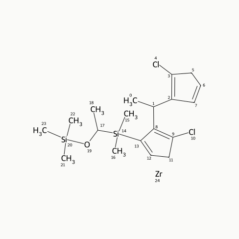 CC(C1=C(Cl)CC=C1)C1=C(Cl)CC=C1[Si](C)(C)C(C)O[Si](C)(C)C.[Zr]